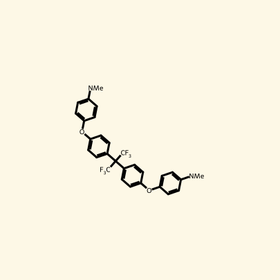 CNc1ccc(Oc2ccc(C(c3ccc(Oc4ccc(NC)cc4)cc3)(C(F)(F)F)C(F)(F)F)cc2)cc1